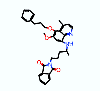 COc1cc(NC(C)CCCN2C(=O)c3ccccc3C2=O)c2nccc(C)c2c1OCCCc1ccccc1